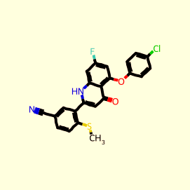 CSc1ccc(C#N)cc1-c1cc(=O)c2c(Oc3ccc(Cl)cc3)cc(F)cc2[nH]1